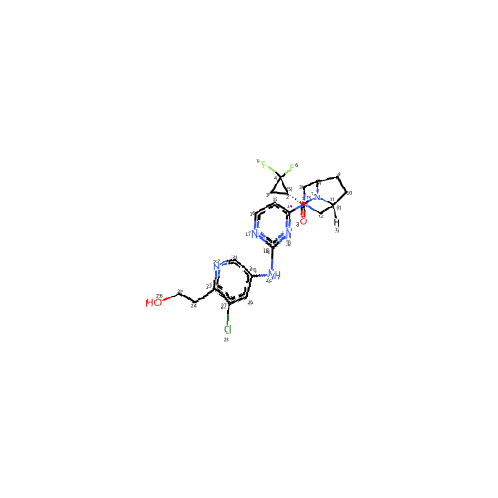 O=C([C@@H]1CC1(F)F)N1C2CC[C@@H]1CN(c1ccnc(Nc3cnc(CCO)c(Cl)c3)n1)C2